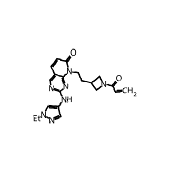 C=CC(=O)N1CC(CCn2c(=O)ccc3cnc(Nc4cnn(CC)c4)nc32)C1